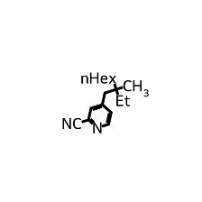 CCCCCCC(C)(CC)Cc1ccnc(C#N)c1